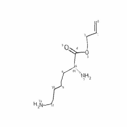 C=CCOC(=O)[C@H](N)CCCCN